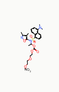 Cc1noc(N(C(C)OC(=O)OCCOCCO[N+](=O)[O-])S(=O)(=O)c2cccc3c(N(C)C)cccc23)c1C